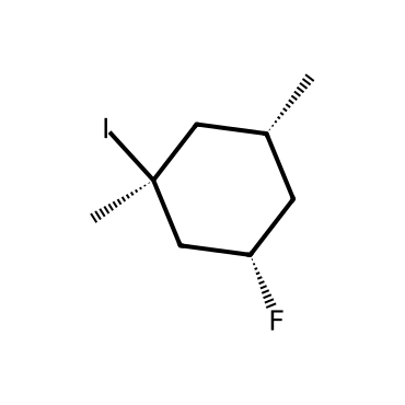 C[C@@H]1C[C@H](F)C[C@@](C)(I)C1